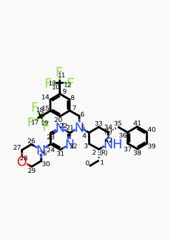 CC[C@@H]1CC(N(Cc2cc(C(F)(F)F)cc(C(F)(F)F)c2)c2ncc(N3CCOCC3)cn2)C[C@H](Cc2ccccc2)N1